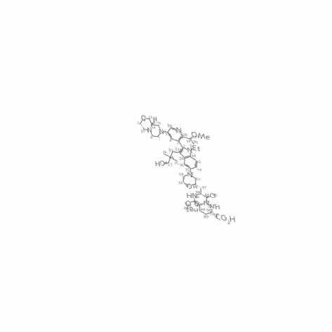 CCn1c(-c2cc(N3CCN4CCOC[C@@H]4C3)cnc2C(C)OC)c(CC(C)(C)CO)c2cc(N3CCO[C@@H](CC(NC(=O)OC(C)(C)C)C(=O)N4CCC[C@@H](C(=O)O)N4)C3)ccc21